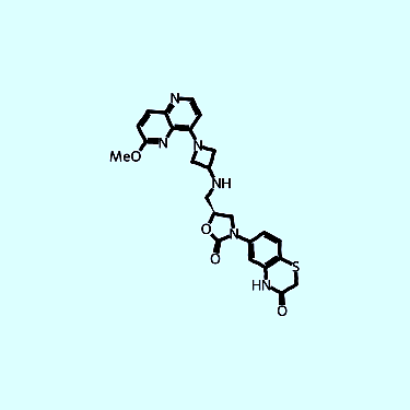 COc1ccc2nccc(N3CC(NC[C@H]4CN(c5ccc6c(c5)NC(=O)CS6)C(=O)O4)C3)c2n1